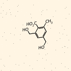 Cc1cc(CO)cc(CO)c1C(=O)O